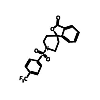 O=C1OC2(CCN(S(=O)(=O)c3ccc(C(F)(F)F)cc3)CC2)c2ccccc21